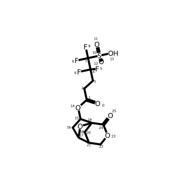 O=C(CCC(F)(F)C(F)(F)S(=O)(=O)O)OC1CC2OC13CC2COC3=O